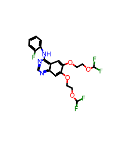 Fc1ccccc1Nc1ncnc2cc(OCCOC(F)F)c(OCCOC(F)F)cc12